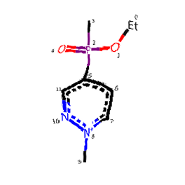 CCOP(C)(=O)c1cc[n+](C)nc1